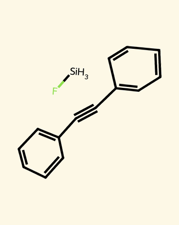 C(#Cc1ccccc1)c1ccccc1.F[SiH3]